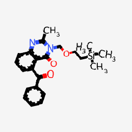 Cc1nc2cccc(C(=O)c3ccccc3)c2c(=O)n1COCC[Si](C)(C)C